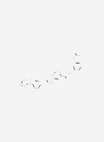 Cc1cc(-c2nnc[nH]2)ccc1CC(=O)Nc1cc(C(=O)NCc2ccc3c(c2)NC(=O)CO3)ncn1